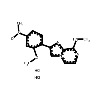 CNc1nccn2cc(-c3ccc([S+](C)[O-])cc3OC)nc12.Cl.Cl